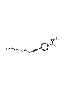 CCNC(C)c1ccc(C#CCOCCCOCC)cc1